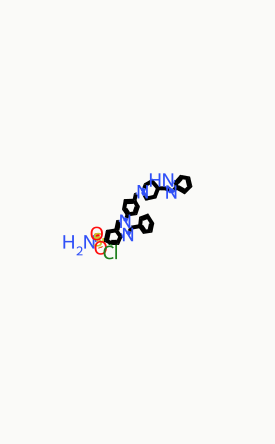 NS(=O)(=O)c1cc2c(cc1Cl)=NC(c1ccccc1)N(c1ccc(CN3CCC(c4nc5ccccc5[nH]4)CC3)cc1)C=2